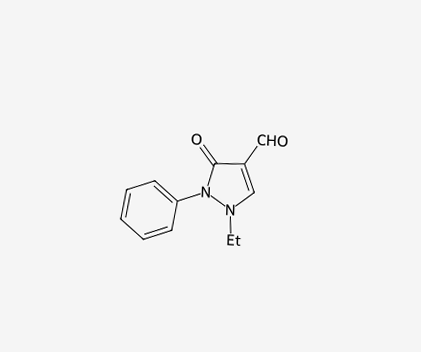 CCn1cc(C=O)c(=O)n1-c1ccccc1